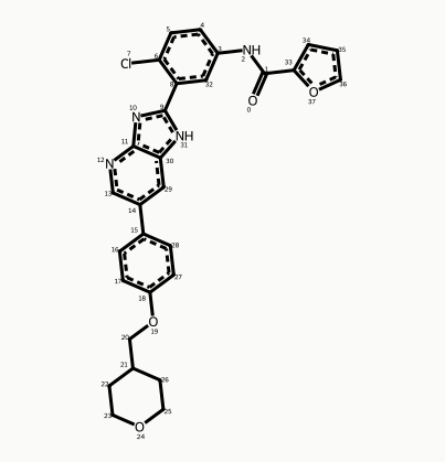 O=C(Nc1ccc(Cl)c(-c2nc3ncc(-c4ccc(OCC5CCOCC5)cc4)cc3[nH]2)c1)c1ccco1